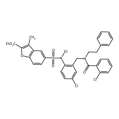 CCOC(=O)c1oc2ccc(S(=O)(=O)N(CC)c3ccc(Cl)cc3CN(CCc3ccccc3)C(=O)c3ccccc3Cl)cc2c1C